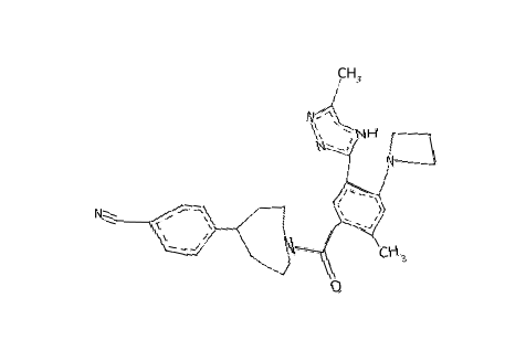 Cc1nnc(-c2cc(C(=O)N3CCC(c4ccc(C#N)cc4)CC3)c(C)cc2N2CCC2)[nH]1